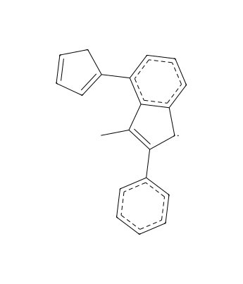 CC1=C(c2ccccc2)[CH]c2cccc(C3=CC=CC3)c21